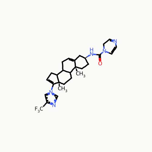 C[C@]12CC[C@H](NC(=O)N3C=CN=CC3)CC1=CCC1C2CC[C@]2(C)C(n3cnc(C(F)(F)F)c3)=CCC12